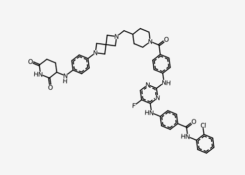 O=C1CCC(Nc2ccc(N3CC4(CN(CC5CCN(C(=O)c6ccc(Nc7ncc(F)c(Nc8ccc(C(=O)Nc9ccccc9Cl)cc8)n7)cc6)CC5)C4)C3)cc2)C(=O)N1